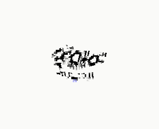 O=C(O)/C=C\C(=O)O.[2H]N(c1ncnc2sc(Cl)nc12)C1([2H])CCN(C([2H])([2H])c2ccc(F)c(C#N)c2)C([2H])([2H])C1([2H])[2H]